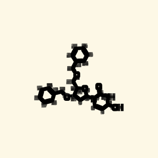 O=C1NC(O)C=CN1[C@H]1C[C@H](OCc2ccccc2)[C@@H](COCc2ccccc2)O1